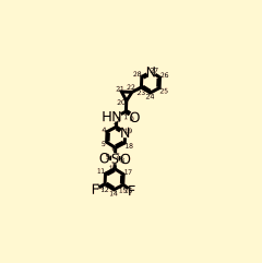 O=C(Nc1ccc(S(=O)(=O)c2cc(F)cc(F)c2)cn1)C1CC1c1cccnc1